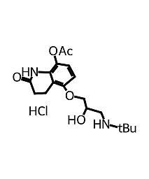 CC(=O)Oc1ccc(OCC(O)CNC(C)(C)C)c2c1NC(=O)CC2.Cl